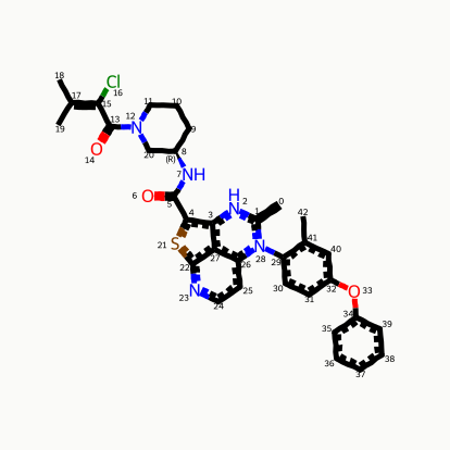 C=c1[nH]c2c(C(=O)N[C@@H]3CCCN(C(=O)C(Cl)=C(C)C)C3)sc3nccc(c32)n1-c1ccc(Oc2ccccc2)cc1C